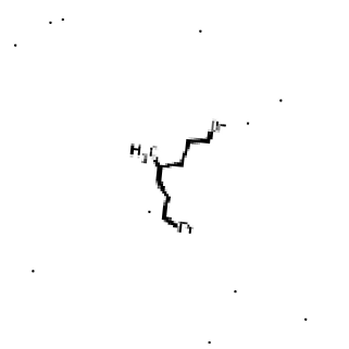 CC(C)CCCC(C)CCCBr